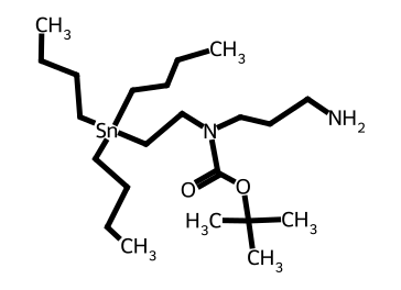 CCC[CH2][Sn]([CH2]CCC)([CH2]CCC)[CH2]CN(CCCN)C(=O)OC(C)(C)C